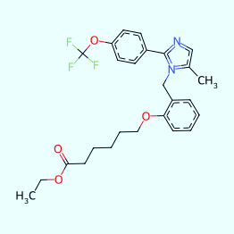 CCOC(=O)CCCCCOc1ccccc1Cn1c(C)cnc1-c1ccc(OC(F)(F)F)cc1